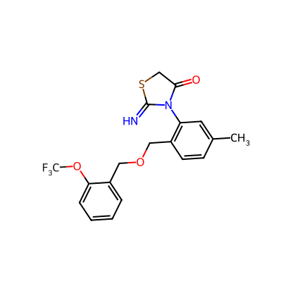 Cc1ccc(COCc2ccccc2OC(F)(F)F)c(N2C(=N)SCC2=O)c1